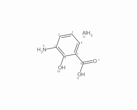 Nc1cccc(C(=O)O)c1O.[AlH3]